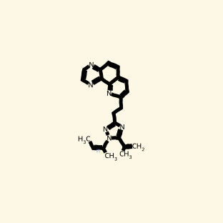 C=C(C)c1nc(CCc2ccc3ccc4nccnc4c3n2)nn1/C(C)=C\C